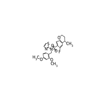 COc1ccc(CN(c2nccs2)S(=O)(=O)c2cc3c(cc2F)C(C)CCO3)c(OC)c1